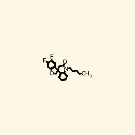 CCCCCN1C(=O)CC2(COc3cc(F)c(F)cc32)c2ccccc21